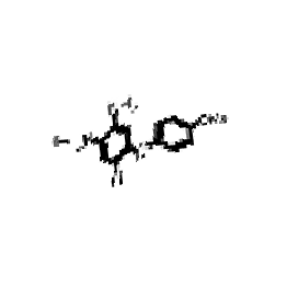 COc1ccc(Oc2cc(N)c(N)cc2Cl)cc1